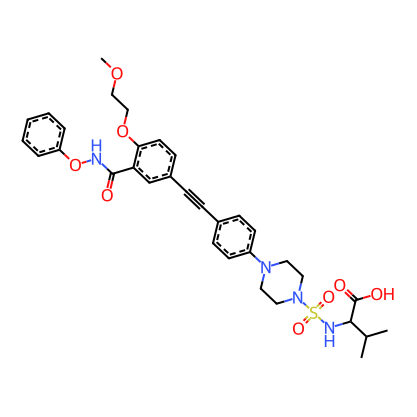 COCCOc1ccc(C#Cc2ccc(N3CCN(S(=O)(=O)NC(C(=O)O)C(C)C)CC3)cc2)cc1C(=O)NOc1ccccc1